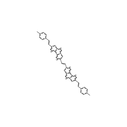 Cc1ccc(/C=C/c2cc3sc4cc(/C=C/c5cc6sc7cc(/C=C/c8ccc(C)cc8)sc7c6s5)sc4c3s2)cc1